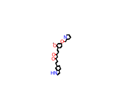 COc1cc(OCc2ccccn2)ccc1C=CC(=O)CC(=O)C=Cc1ccc2cc[nH]c2c1